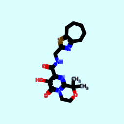 CC1(C)OCCn2c1nc(C(=O)NCc1nc3c(s1)CCCCC3)c(O)c2=O